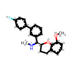 CNC(c1cccc(-c2ccc(F)cc2)c1)[C@@H]1CCc2cccc(OC)c2O1